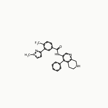 Cn1ccc(-c2cc(C(=O)Nc3cnc4c(c3-c3ccccc3)CCNC4)ccc2C(F)(F)F)n1